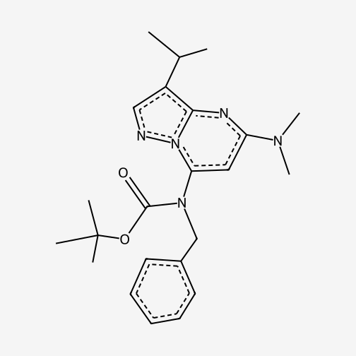 CC(C)c1cnn2c(N(Cc3ccccc3)C(=O)OC(C)(C)C)cc(N(C)C)nc12